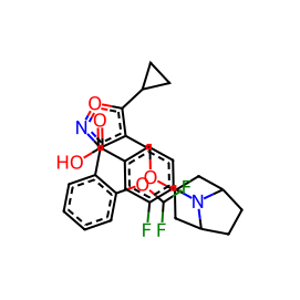 O=C(O)c1ccc(N2C3CCC2CC(OCc2c(-c4ccccc4OC(F)F)noc2C2CC2)C3)c(F)c1